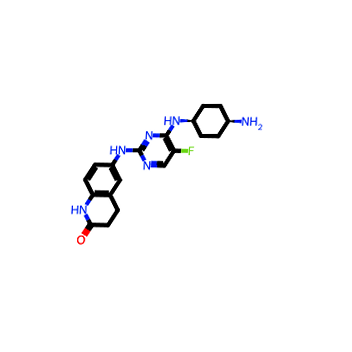 N[C@H]1CC[C@@H](Nc2nc(Nc3ccc4c(c3)CCC(=O)N4)ncc2F)CC1